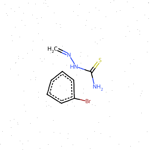 Brc1ccccc1.C=NNC(N)=S